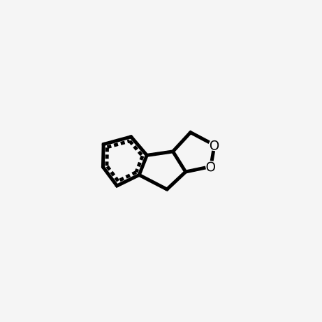 c1ccc2c(c1)CC1OOCC21